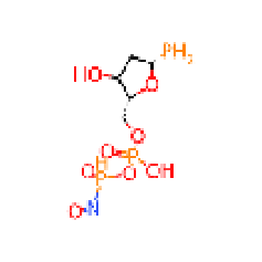 O=N[PH](=O)OP(=O)(O)OC[C@H]1O[C@@H](P)CC1O